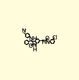 CN(C)Cc1ccc(N/C(=C2/C(=O)Nc3cc(C#CC(=O)Nc4cccc(Cl)c4)ccc32)c2ccccc2)cc1